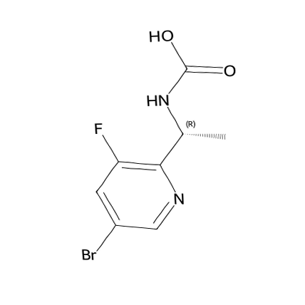 C[C@@H](NC(=O)O)c1ncc(Br)cc1F